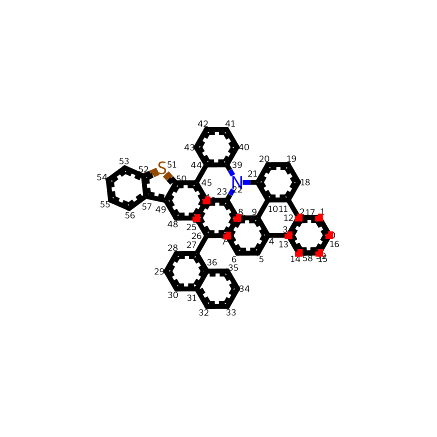 c1ccc(-c2ccccc2-c2c(-c3ccccc3)cccc2N(c2ccc(-c3cccc4ccccc34)cc2)c2ccccc2-c2cccc3c2sc2ccccc23)cc1